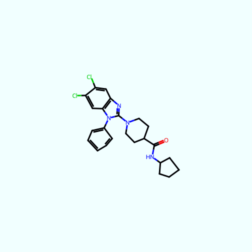 O=C(NC1CCCC1)C1CCN(c2nc3cc(Cl)c(Cl)cc3n2-c2ccccc2)CC1